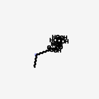 CCCCCCC/C=C\CCCCCCCC(=O)OCC(O)COP(=O)(O)OC1C(O)C(O)C(O)C(O)C1O